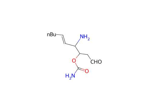 CCCCC=CC(N)C(CC=O)OC(N)=O